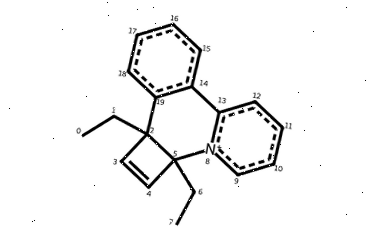 CCC12C=CC1(CC)[n+]1ccccc1-c1ccccc12